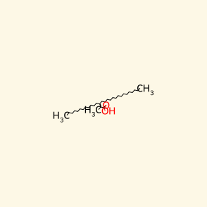 CCCCCCCCCCCCCCCC(CCCCCCCCCCCC)=C(C)C(=O)O